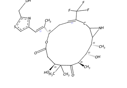 C/C(=C\c1csc(CO)n1)[C@@H]1C/C=C(/C(F)(F)F)CC2NC2[C@H](C)[C@H](O)[C@@H](C)C(=O)C(C)(C)[C@@H](O)CC(=O)O1